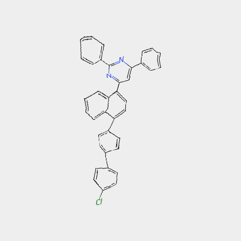 Clc1ccc(-c2ccc(-c3ccc(-c4cc(-c5ccccc5)nc(-c5ccccc5)n4)c4ccccc34)cc2)cc1